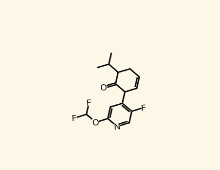 CC(C)C1CC=CC(c2cc(OC(F)F)ncc2F)C1=O